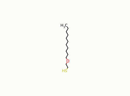 CCCCCCCCCCCOCCS